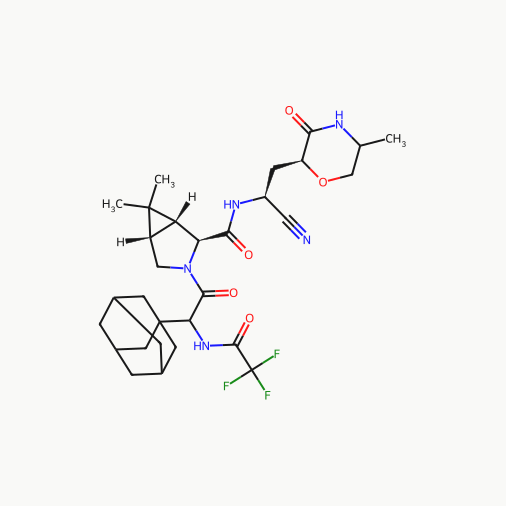 CC1CO[C@@H](C[C@@H](C#N)NC(=O)[C@@H]2[C@@H]3[C@H](CN2C(=O)C(NC(=O)C(F)(F)F)C24CC5CC(CC(C5)C2)C4)C3(C)C)C(=O)N1